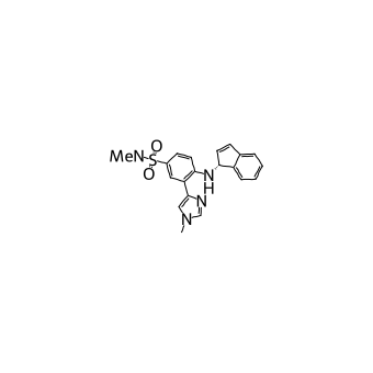 CNS(=O)(=O)c1ccc(N[C@@H]2C=Cc3ccccc32)c(-c2cn(C)cn2)c1